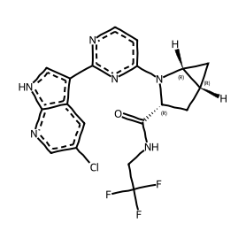 O=C(NCC(F)(F)F)[C@H]1C[C@H]2C[C@H]2N1c1ccnc(-c2c[nH]c3ncc(Cl)cc23)n1